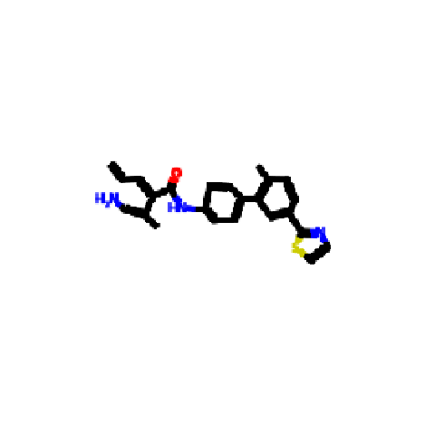 C=C/C=C(C(=O)Nc1ccc(-c2cc(-c3nccs3)ccc2C)cc1)\C(C)=C/N